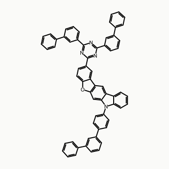 c1ccc(-c2cccc(-c3ccc(-n4c5ccccc5c5cc6c(cc54)oc4ccc(-c5nc(-c7cccc(-c8ccccc8)c7)nc(-c7cccc(-c8ccccc8)c7)n5)cc46)cc3)c2)cc1